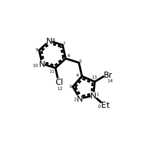 CCn1ncc(Cc2cncnc2Cl)c1Br